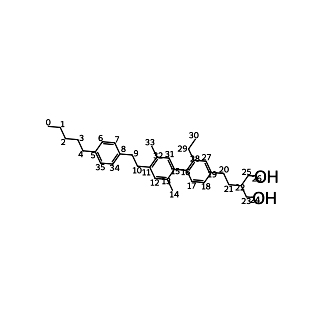 CCCCCc1ccc(CCc2cc(C)c(-c3ccc(CCC(CO)CO)cc3CC)cc2C)cc1